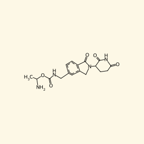 CC(N)OC(=O)NCc1ccc2c(c1)CN(C1CCC(=O)NC1=O)C2=O